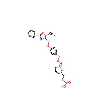 Cc1oc(-c2ccccc2)nc1COc1ccc(CO/N=C2/C=C(CCC(=O)O)C=CC2)cc1